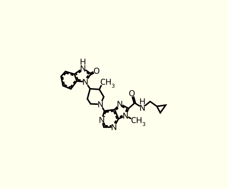 CC1CN(c2ncnc3c2nc(C(=O)NCC2CC2)n3C)CCC1n1c(=O)[nH]c2ccccc21